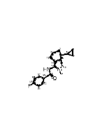 Cn1nc2c(C3CC3)cccc2c1NC(=O)c1ccc(F)cc1